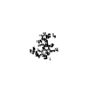 C[C@H](c1ccc(C(F)(F)F)nc1)n1nc(C#N)c2c(=O)[nH]c([C@@H]3CC[C@H]3c3ccn(C)n3)nc21